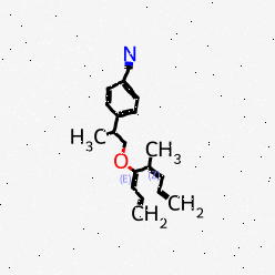 C=C/C=C(C)\C(=C/C=C)OCC(C)c1ccc(C#N)cc1